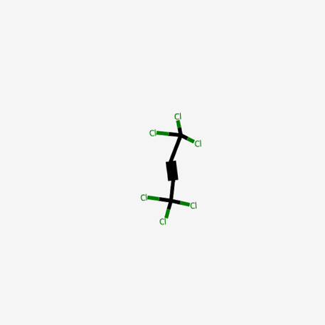 ClC(Cl)(Cl)C#CC(Cl)(Cl)Cl